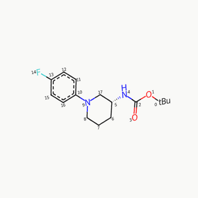 CC(C)(C)OC(=O)N[C@@H]1CCCN(c2ccc(F)cc2)C1